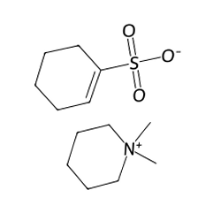 C[N+]1(C)CCCCC1.O=S(=O)([O-])C1=CCCCC1